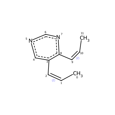 C/C=C\c1cncnc1/C=C\C